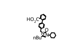 CCCCc1cn(C2CCCCC2)c(=O)n1Cc1ccc(-c2ccccc2C(=O)O)cc1